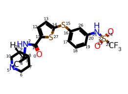 O=C(N[C@H]1CN2CCC1CC2)c1ccc(Sc2cccc(NS(=O)(=O)C(F)(F)F)c2)s1